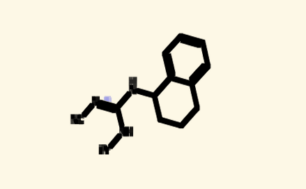 CC(C)N/C(=N\C#N)NC1CCCc2ccccc21